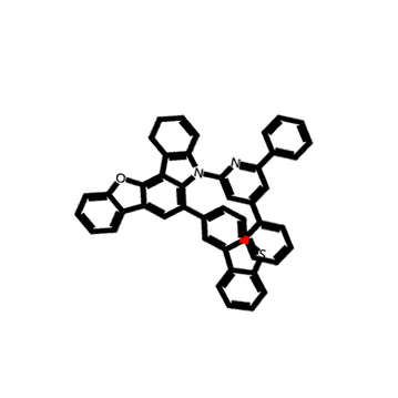 C1=Cc2c(c3c4oc5ccccc5c4cc(-c4ccc5sc6ccccc6c5c4)c3n2-c2cc(-c3ccccc3)cc(-c3ccccc3)n2)CC1